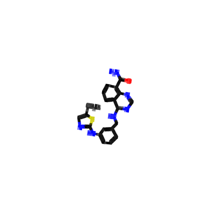 CCOC(=O)c1cnc(Nc2cccc(CNc3ncnc4c(C(N)=O)cccc34)c2)s1